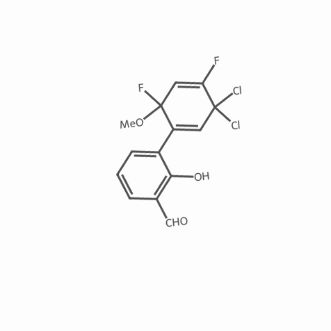 COC1(F)C=C(F)C(Cl)(Cl)C=C1c1cccc(C=O)c1O